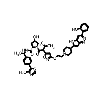 Cc1ncsc1-c1ccc(C(C)NC(=O)[C@@H]2C[C@@H](O)CN2C(=O)C(c2cc(OCCN3CCC(c4cc5nnc(-c6ccccc6O)cc5[nH]4)CC3)no2)C(C)C)cc1